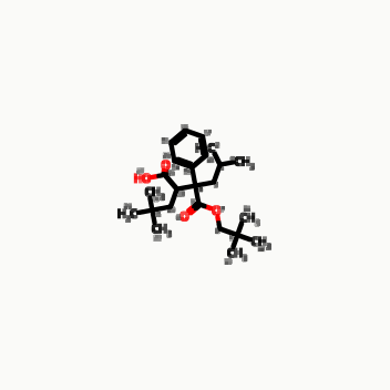 CC(C)CC(C(=O)OCC(C)(C)C)(c1ccccc1)C(CC(C)(C)C)C(=O)O